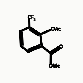 COC(=O)c1cccc(C(F)(F)F)c1OC(C)=O